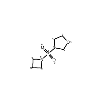 O=S(=O)(C1CCOC1)N1CCC1